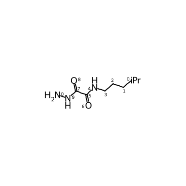 CC(C)CCCNC(=O)C(=O)NN